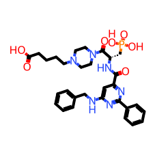 O=C(O)CCCCN1CCN(C(=O)[C@H](CP(=O)(O)O)NC(=O)c2cc(NCc3ccccc3)nc(-c3ccccc3)n2)CC1